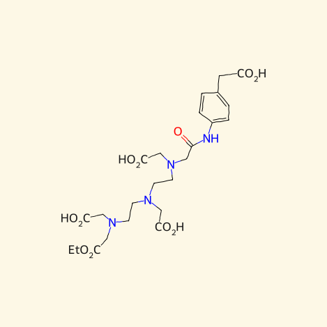 CCOC(=O)CN(CCN(CCN(CC(=O)O)CC(=O)Nc1ccc(CC(=O)O)cc1)CC(=O)O)CC(=O)O